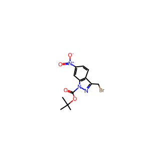 CC(C)(C)OC(=O)n1nc(CBr)c2ccc([N+](=O)[O-])cc21